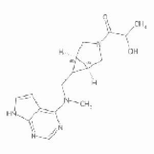 CC(O)C(=O)N1C[C@@H]2C(CN(C)c3ncnc4[nH]ccc34)[C@@H]2C1